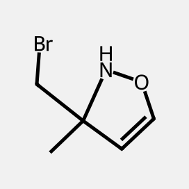 CC1(CBr)C=CON1